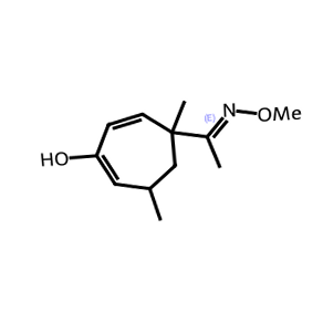 CO/N=C(\C)C1(C)C=CC(O)=CC(C)C1